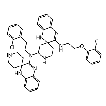 Clc1ccccc1CCN(C1=Nc2ccccc2NC12CCNCC2)C1CC2(CCN1)Nc1ccccc1N=C2NCCOc1ccccc1Cl